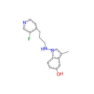 Cc1cn(NCCCc2ccncc2F)c2ccc(O)cc12